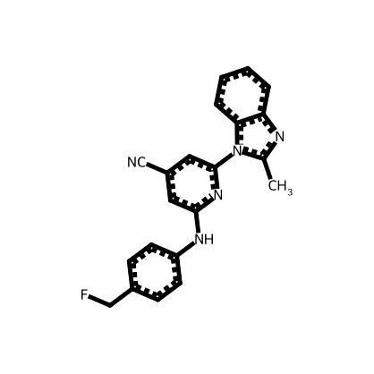 Cc1nc2ccccc2n1-c1cc(C#N)cc(Nc2ccc(CF)cc2)n1